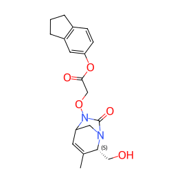 CC1=CC2CN(C(=O)N2OCC(=O)Oc2ccc3c(c2)CCC3)[C@@H]1CO